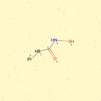 CC(C)BC(=O)NS